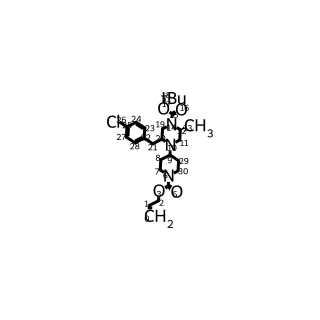 C=CCOC(=O)N1CCC(N2C[C@H](C)N(C(=O)OC(C)(C)C)CC2Cc2ccc(Cl)cc2)CC1